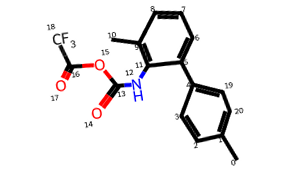 Cc1ccc(-c2cccc(C)c2NC(=O)OC(=O)C(F)(F)F)cc1